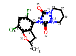 CC1Cc2c(c(Cl)cc(F)c2-n2c(=O)n3n(c2=O)CCCC3)O1